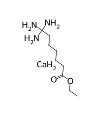 CCOC(=O)CCCCCC(N)(N)N.[CaH2]